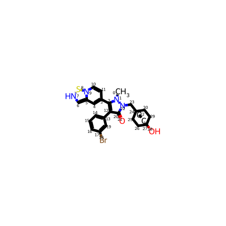 Cn1c(C2=CC3=CNSN3C=C2)c(-c2cccc(Br)c2)c(=O)n1CC12CCC(O)(CC1)CC2